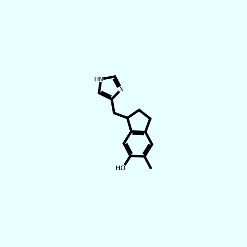 Cc1cc2c(cc1O)C(Cc1c[nH]cn1)CC2